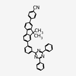 CC1(C)c2cc(-c3ccc(C#N)cc3)ccc2-c2ccc(-c3cccc(-c4nc(-c5ccccc5)nc(-c5ccccc5)n4)c3)cc21